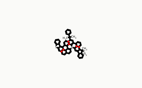 CC(C)(c1ccccc1)c1ccc(N(c2ccc3c(c2)-c2ccccc2C3(C)C)c2ccc3ccccc3c2-c2ccccc2-c2cccc3sc4ccccc4c23)c(-c2ccccc2)c1